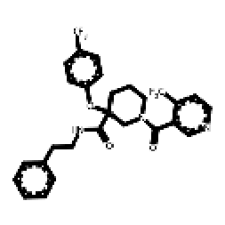 O=C(c1cnccc1C(F)(F)F)N1CCCC(Oc2ccc(C(F)(F)F)cc2)(C(=O)NCCc2ccccc2)C1